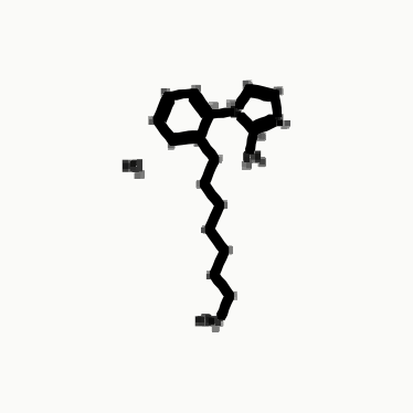 CCCCCCCCCCCCCCCCCc1ccccc1-n1ccnc1C.Cl